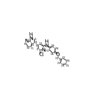 Clc1cc(-c2c[nH]c3ncccc23)cc(Nc2ccc(OCc3ccccc3)cc2)n1